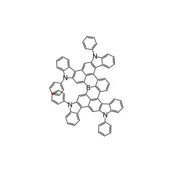 c1ccc(-n2c3ccccc3c3c4c5c(cc6c(c5cc32)c2ccccc2n6-c2ccccc2)B2c3c-4cccc3-c3c4c2cc2c(c4cc4c3c3ccccc3n4-c3ccccc3)c3ccccc3n2-c2ccccc2)cc1